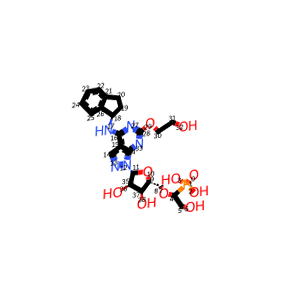 O=P(O)(O)C(CO)OC[C@H]1O[C@@H](n2ncc3c(N[C@@H]4CCc5ccccc54)nc(OCCO)nc32)[C@H](O)[C@@H]1O